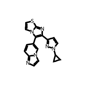 c1cn2cc(-c3c(-c4ccn(C5CC5)n4)nc4sccn34)ccc2n1